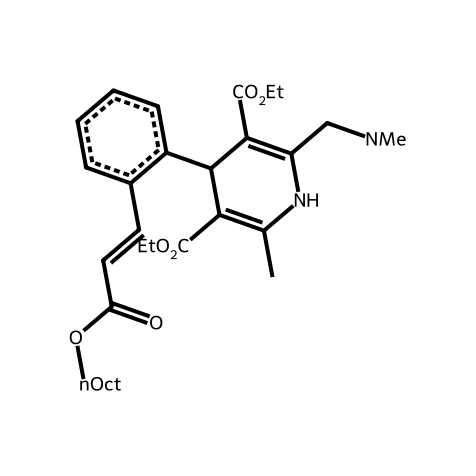 CCCCCCCCOC(=O)/C=C/c1ccccc1C1C(C(=O)OCC)=C(C)NC(CNC)=C1C(=O)OCC